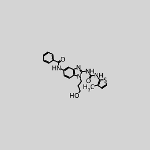 Cc1ccsc1NC(=O)Nc1nc2cc(NC(=O)c3ccccc3)ccc2n1CCCO